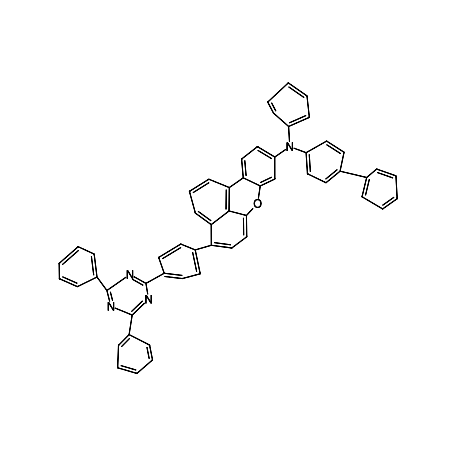 c1ccc(-c2ccc(N(c3ccccc3)c3ccc4c(c3)Oc3ccc(-c5ccc(-c6nc(-c7ccccc7)nc(-c7ccccc7)n6)cc5)c5cccc-4c35)cc2)cc1